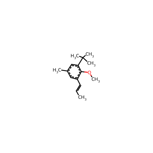 CC=Cc1cc(C)cc(C(C)(C)C)c1OC